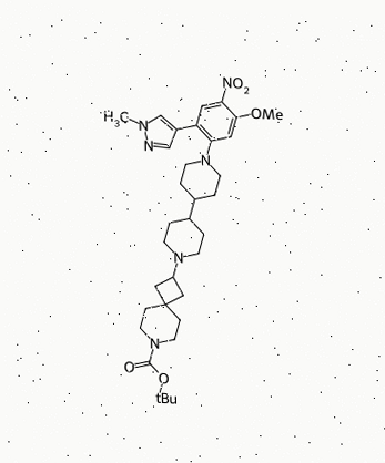 COc1cc(N2CCC(C3CCN(C4CC5(CCN(C(=O)OC(C)(C)C)CC5)C4)CC3)CC2)c(-c2cnn(C)c2)cc1[N+](=O)[O-]